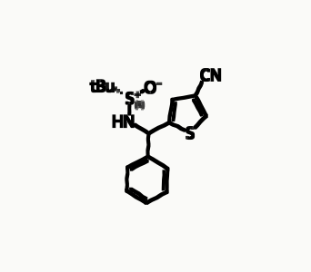 CC(C)(C)[S@+]([O-])NC(c1ccccc1)c1cc(C#N)cs1